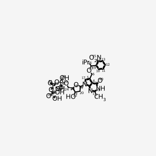 Cc1nc2c(c(COC(c3ccccc3[N+](=O)[O-])C(C)C)cn2[C@H]2CC(O)[C@@H](COP(=O)(O)OP(=O)(O)OP(=O)(O)O)O2)c(=O)[nH]1